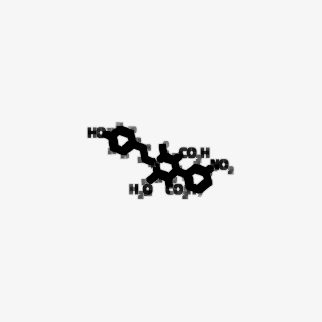 CC1=C(C(=O)O)C(c2cccc([N+](=O)[O-])c2)C(C(=O)O)=C(C)N1CCc1ccc(O)cc1.O